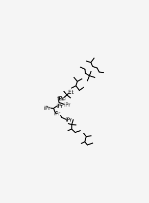 CC(C)C(C)C(C)C.CC(C)CC(C)(C)C.CC(C)CC(C)C.CCC(C)(C)C(C)C.CCC(C)C(C)(C)C.CCC(C)C(C)C.CCC(C)C(C)C.CCCC(C)(C)C.CCCCC(C)C